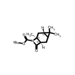 CC(C)(C)OC(=O)N1C(=O)[C@@H]2CC3[C@H](C[C@@]21C)C3(C)C